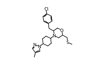 CSCC1CN(C2CCC(n3cc(C)cn3)CC2)C(Cc2ccc(Cl)cc2)CO1